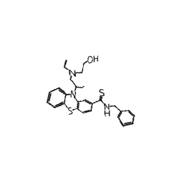 CCN(CCO)CC(C)N1c2ccccc2Sc2ccc(C(=S)NCc3ccccc3)cc21